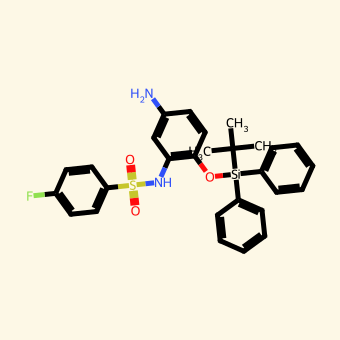 CC(C)(C)[Si](Oc1ccc(N)cc1NS(=O)(=O)c1ccc(F)cc1)(c1ccccc1)c1ccccc1